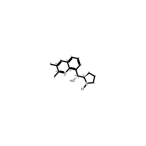 CCN1CCC[C@@H]1[C@H](O)c1cccc2cc(C)c(C)nc12